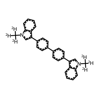 [2H]C([2H])([2H])n1cc(-c2ccc(-c3ccc(-c4cn(C([2H])([2H])[2H])c5ccccc45)cc3)cc2)c2ccccc21